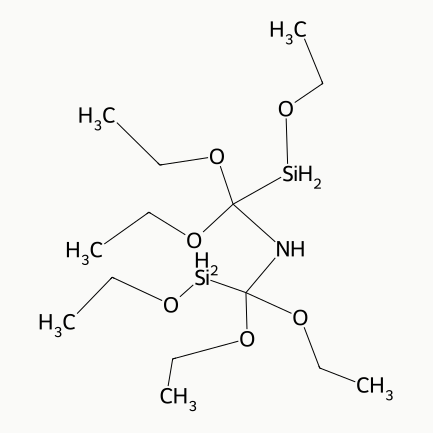 CCO[SiH2]C(NC(OCC)(OCC)[SiH2]OCC)(OCC)OCC